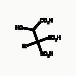 CCC([C](O)C(=O)O)(S(=O)(=O)O)S(=O)(=O)O